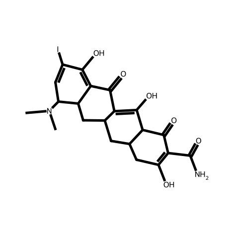 CN(C)C1C=C(I)C(O)=C2C(=O)C3=C(O)C4C(=O)C(C(N)=O)=C(O)CC4CC3CC21